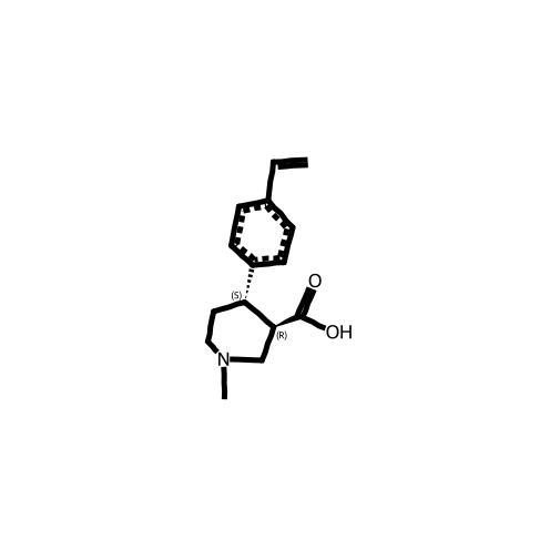 C=Cc1ccc([C@H]2CCN(C)C[C@@H]2C(=O)O)cc1